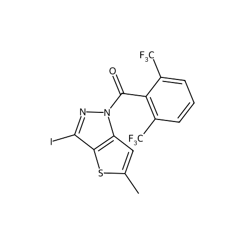 Cc1cc2c(s1)c(I)nn2C(=O)c1c(C(F)(F)F)cccc1C(F)(F)F